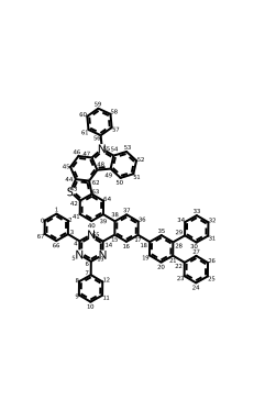 c1ccc(-c2nc(-c3ccccc3)nc(-c3cc(-c4ccc(-c5ccccc5)c(-c5ccccc5)c4)ccc3-c3ccc4sc5ccc6c(c7ccccc7n6-c6ccccc6)c5c4c3)n2)cc1